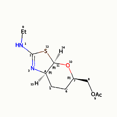 CCNC1=N[C@@H]2[CH][CH][C@H](COC(C)=O)O[C@@H]2S1